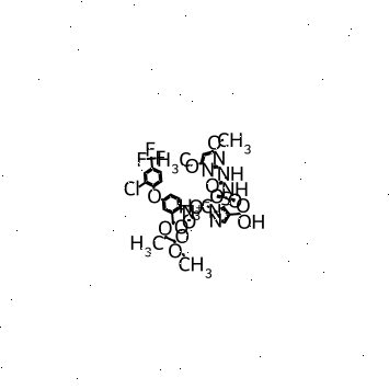 CCOC(=O)C(C)OC(=O)c1cc(Oc2ccc(C(F)(F)F)cc2Cl)ccc1[N+](=O)[O-].COc1cc(OC)nc(NC(=O)NS(=O)(=O)c2c(C(=O)O)cnn2C)n1